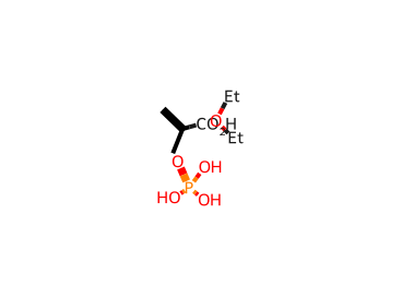 C=C(C)C(=O)O.CCOCC.O=P(O)(O)O